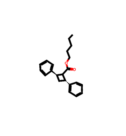 CCCCCOC(=O)C1[C@H](c2ccccc2)C[C@H]1c1ccccc1